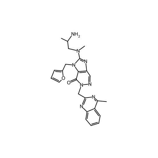 Cc1nc(Cn2ncc3nc(N(C)CC(C)N)n(Cc4ccco4)c3c2=O)nc2ccccc12